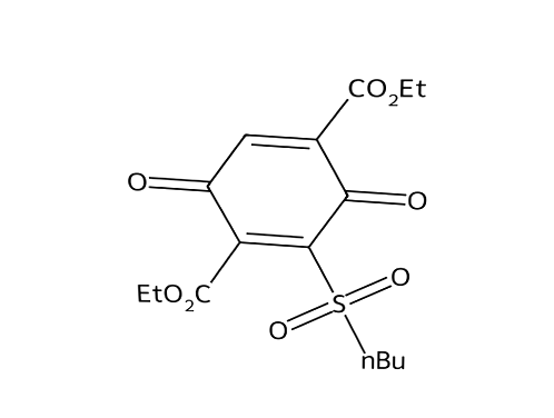 CCCCS(=O)(=O)C1=C(C(=O)OCC)C(=O)C=C(C(=O)OCC)C1=O